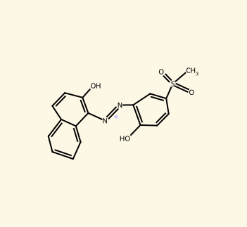 CS(=O)(=O)c1ccc(O)c(/N=N/c2c(O)ccc3ccccc23)c1